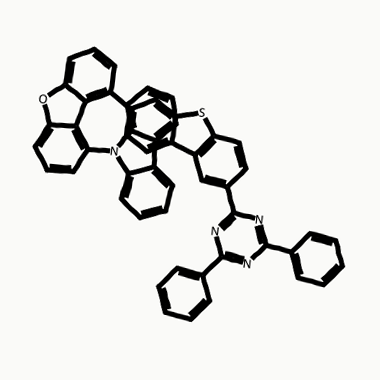 c1ccc(-c2nc(-c3ccccc3)nc(-c3ccc4sc5cc(-c6cccc7oc8cccc(-n9c%10ccccc%10c%10ccccc%109)c8c67)ccc5c4c3)n2)cc1